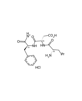 CC(C)C[C@H](N)C(=O)N[C@@H](CC(=O)O)C(=O)N[C@@H](Cc1ccccc1)C(N)=O.Cl